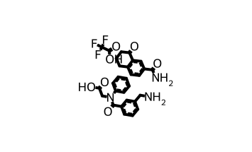 NC(=O)c1ccc2c(c1)C(=O)CCC2.NCc1cccc(C(=O)N(CC(=O)O)c2ccccc2)c1.O=C(O)C(F)(F)F